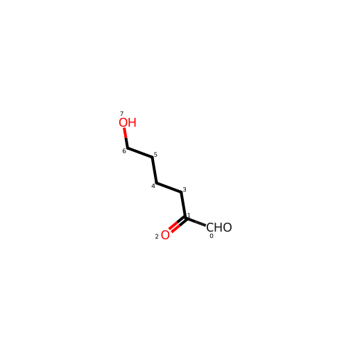 O=CC(=O)CCCCO